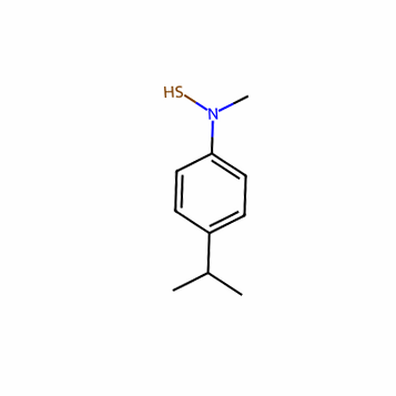 CC(C)c1ccc(N(C)S)cc1